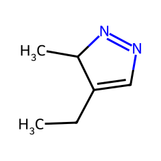 CCC1=CN=NC1C